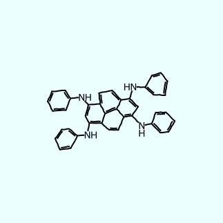 c1ccc(Nc2cc(Nc3ccccc3)c3ccc4c(Nc5ccccc5)cc(Nc5ccccc5)c5ccc2c3c54)cc1